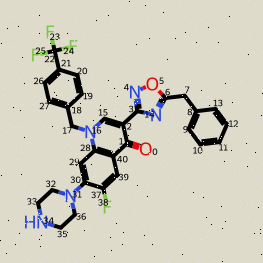 O=c1c(-c2noc(Cc3ccccc3)n2)cn(Cc2ccc(C(F)(F)F)cc2)c2cc(N3CCNCC3)c(F)cc12